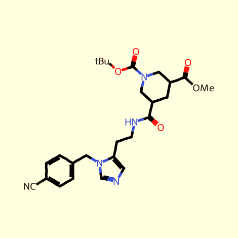 COC(=O)C1CC(C(=O)NCCc2cncn2Cc2ccc(C#N)cc2)CN(C(=O)OC(C)(C)C)C1